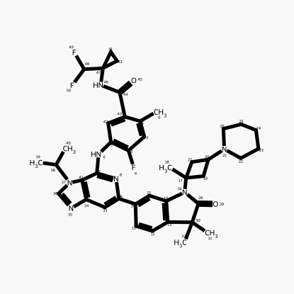 Cc1cc(F)c(Nc2nc(-c3ccc4c(c3)N(C3(C)CC(N5CCCCC5)C3)C(=O)C4(C)C)cc3ncn(C(C)C)c23)cc1C(=O)NC1(C(F)F)CC1